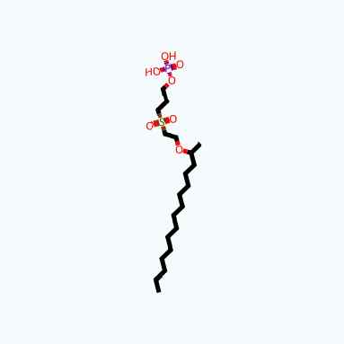 CCCCCCCCCCCCCC(C)OCCS(=O)(=O)CCCOP(=O)(O)O